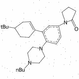 CCCCN1CCN(c2ccc(N3CCCC3=O)cc2C2=CCC(C(C)(C)C)CC2)CC1